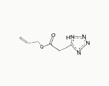 C=CCOC(=O)Cc1nnn[nH]1